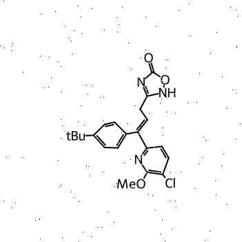 COc1nc(/C(=C/Cc2nc(=O)o[nH]2)c2ccc(C(C)(C)C)cc2)ccc1Cl